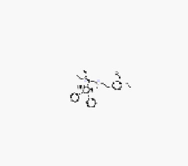 C=C/C(CC)=C(\C=C(/C)CCc1ccc(CC)c(C=O)c1)c1nc(-c2ccccc2)c(-c2ccccc2)[nH]1